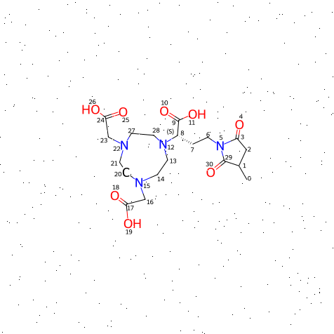 CC1CC(=O)N(CC[C@@H](C(=O)O)N2CCN(CC(=O)O)CCN(CC(=O)O)CC2)C1=O